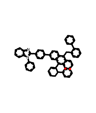 C1=CCC(c2ccccc2)C(c2c3ccccc3c(Cc3ccccc3-c3ccccc3)c3ccc(-c4ccc(-c5nc6ccccc6n5-c5ccccc5)cc4)cc23)=C1